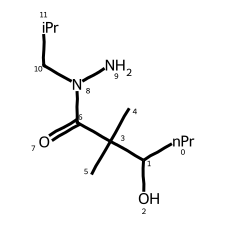 CCCC(O)C(C)(C)C(=O)N(N)CC(C)C